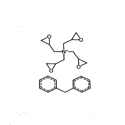 C1OC1C[N+](CC1CO1)(CC1CO1)CC1CO1.c1ccc(Cc2ccccc2)cc1